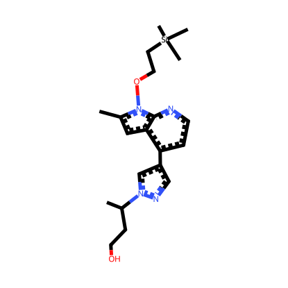 Cc1cc2c(-c3cnn(C(C)CCO)c3)ccnc2n1OCC[Si](C)(C)C